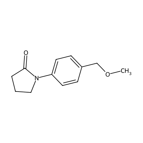 COCc1ccc(N2CCCC2=O)cc1